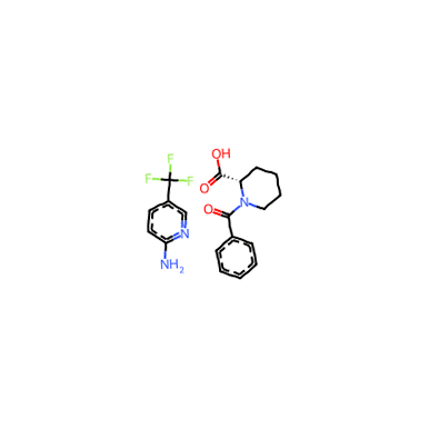 Nc1ccc(C(F)(F)F)cn1.O=C(O)[C@@H]1CCCCN1C(=O)c1ccccc1